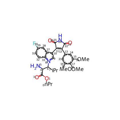 CCCOC(=O)C(N)C(C(C)C)n1cc(C2=C(c3cc(OC)c(OC)c(OC)c3)C(=O)NC2=O)c2cc(F)ccc21